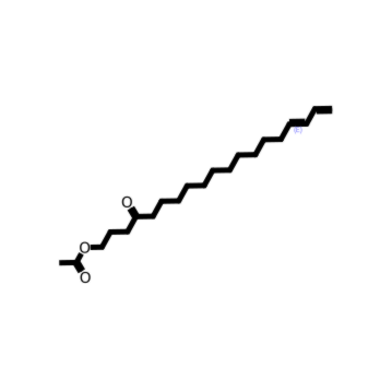 C=C/C=C/CCCCCCCCCCCC(=O)CCCOC(C)=O